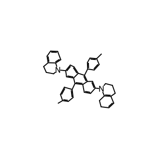 Cc1ccc(-c2c3ccc(N4CCCc5ccccc54)cc3c(-c3ccc(C)cc3)c3ccc(N4CCCC5=C4CCC=C5)cc23)cc1